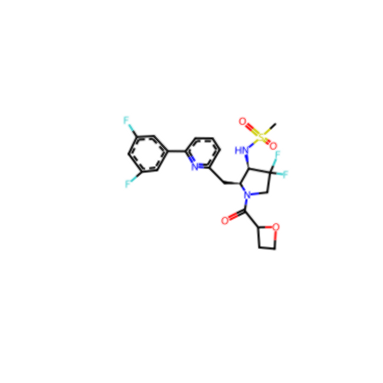 CS(=O)(=O)N[C@@H]1[C@H](Cc2cccc(-c3cc(F)cc(F)c3)n2)N(C(=O)C2CCO2)CC1(F)F